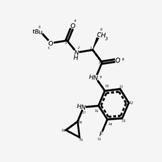 C[C@H](NC(=O)OC(C)(C)C)C(=O)Nc1cccc(F)c1NC1CC1